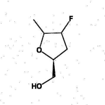 CC1O[C@H](CO)CC1F